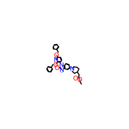 CCOC(=O)CC1CCCN(c2ccc3c(c2)n(C)c(=O)n3-c2ccc(OCc3ccccc3)nc2OCc2ccccc2)CC1